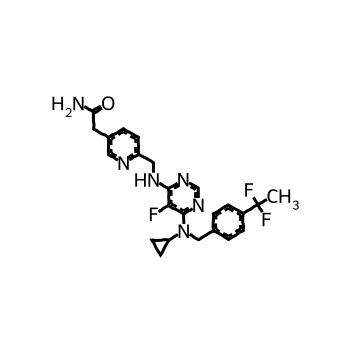 CC(F)(F)c1ccc(CN(c2ncnc(NCc3ccc(CC(N)=O)cn3)c2F)C2CC2)cc1